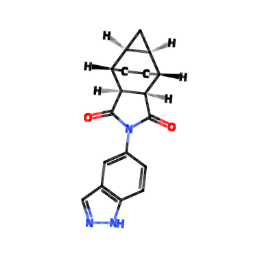 O=C1[C@@H]2[C@@H]3CC[C@@H]([C@H]4C[C@H]43)[C@@H]2C(=O)N1c1ccc2[nH]ncc2c1